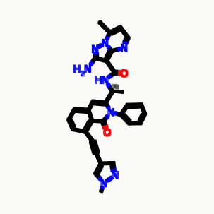 Cc1ccnc2c(C(=O)N[C@@H](C)c3cc4cccc(C#Cc5cnn(C)c5)c4c(=O)n3-c3ccccc3)c(N)nn12